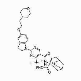 O=C(NC1(C(=O)O)C2CC3CC(C2)CC1C3)c1cnc(N2CCc3cc(OCCC4CCOCC4)ccc32)nc1C(F)(F)F